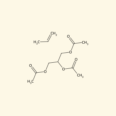 C=CC.CC(=O)OCC(COC(C)=O)OC(C)=O